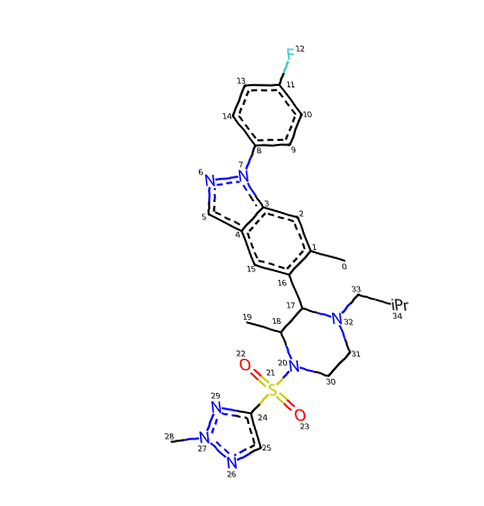 Cc1cc2c(cnn2-c2ccc(F)cc2)cc1C1C(C)N(S(=O)(=O)c2cnn(C)n2)CCN1CC(C)C